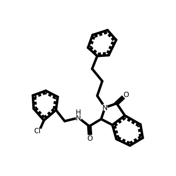 O=C(NCc1ccccc1Cl)C1c2ccccc2C(=O)N1CCCc1ccccc1